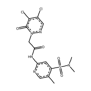 Cc1cnc(NC(=O)Cn2ncc(Cl)c(Cl)c2=O)cc1S(=O)(=O)N(C)C